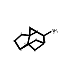 NC1C2CC3CCC4(CC14)C3C2